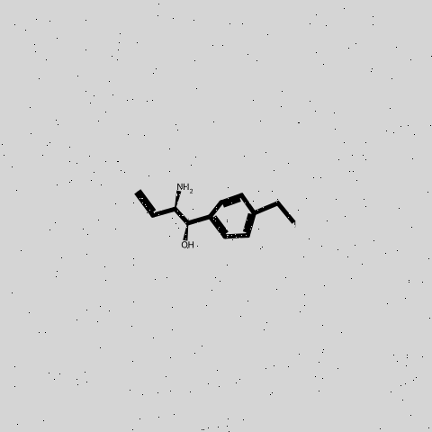 C=C[C@@H](N)[C@H](O)c1ccc(CI)cc1